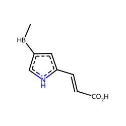 CBc1c[nH]c(/C=C/C(=O)O)c1